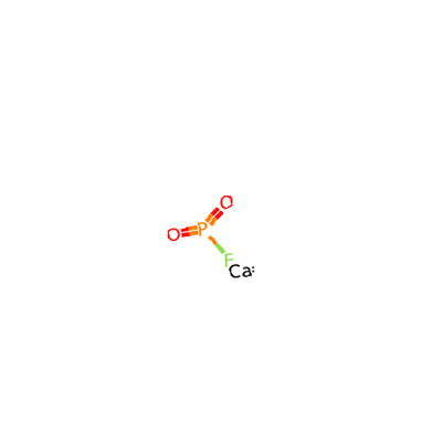 O=P(=O)F.[Ca]